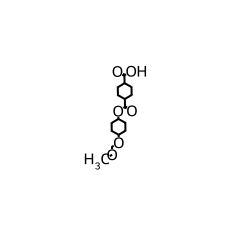 COCOC1CCC(OC(=O)C2CCC(C(=O)O)CC2)CC1